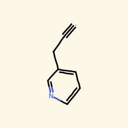 [C]#CCc1cccnc1